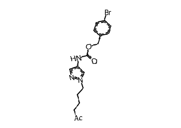 CC(=O)CCCCn1cc(NC(=O)OCc2ccc(Br)cc2)cn1